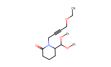 CCOC(OCC)C1CCCC(=O)N1CC#CCOCC#N